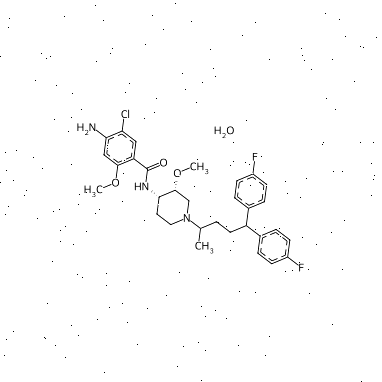 COc1cc(N)c(Cl)cc1C(=O)N[C@H]1CCN(C(C)CCC(c2ccc(F)cc2)c2ccc(F)cc2)C[C@H]1OC.O